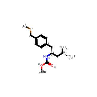 CC(=O)SCc1ccc(C[C@@H](C[C@H](C)C(=O)O)NC(=O)OC(C)(C)C)cc1